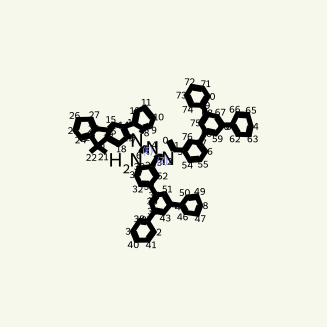 C=C(/N=C(\N=C(/N)n1c2ccccc2c2cc3c(cc21)C(C)(C)c1ccccc1-3)c1cccc(-c2cc(-c3ccccc3)cc(-c3ccccc3)c2)c1)c1cccc(-c2cc(-c3ccccc3)cc(-c3ccccc3)c2)c1